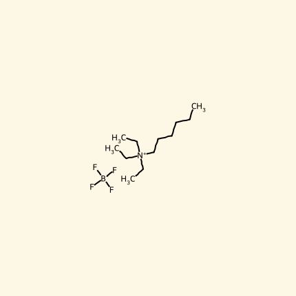 CCCCCC[N+](CC)(CC)CC.F[B-](F)(F)F